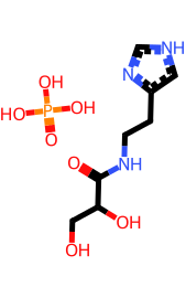 O=C(NCCc1c[nH]cn1)C(O)CO.O=P(O)(O)O